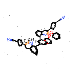 CP1(C)=Nc2c(cccc2-c2cccc(-c3cccc4c3N=P(Oc3ccccc3)(Oc3ccccc3)C(c3ccc(C#N)cc3)=C4)c2)C=C1c1ccc(C#N)cc1